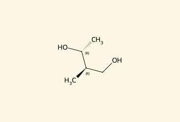 C[C@H](CO)[C@@H](C)O